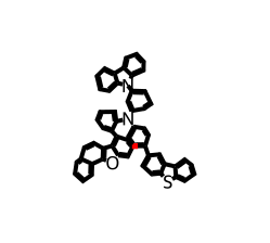 c1cc(N(c2ccc(-c3ccc4sc5ccccc5c4c3)cc2)c2ccccc2-c2cccc3oc4c5ccccc5ccc4c23)cc(-n2c3ccccc3c3ccccc32)c1